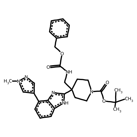 Cn1cc(-c2cccc3[nH]c(C4(CNC(=O)OCc5ccccc5)CCN(C(=O)OC(C)(C)C)CC4)nc23)cn1